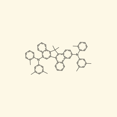 Cc1cc(C)cc(N(c2ccc3c4c(c5ccccc5c3c2)-c2cc(N(c3cc(C)cc(C)c3)c3ccccc3C)c3ccccc3c2C4(C)C)c2ccccc2C)c1